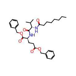 CCCCCCCC(=O)N[C@H](C(=O)N[C@@H](CCC(=O)OCc1ccccc1)C(=O)OCc1ccccc1)C(C)C